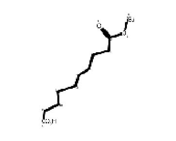 CCC(C)OC(=O)CCCCCCCCC(=O)O